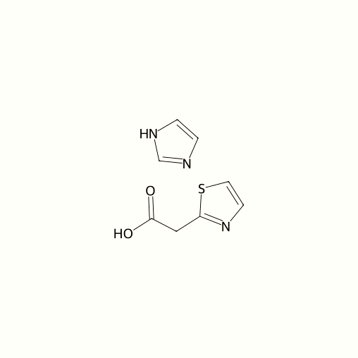 O=C(O)Cc1nccs1.c1c[nH]cn1